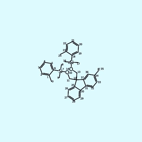 Cc1ccccc1[Si](C)(C)OCC1(CO[Si](C)(C)c2ccccc2C)c2ccccc2-c2ccc(F)cc21